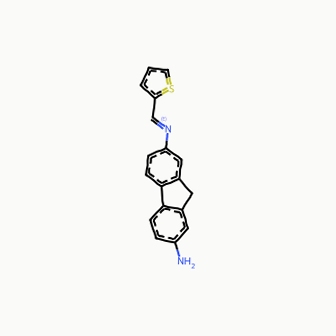 Nc1ccc2c(c1)Cc1cc(/N=C/c3cccs3)ccc1-2